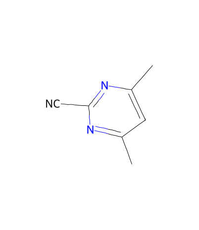 Cc1cc(C)nc(C#N)n1